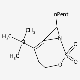 CCCCCC1C2=C([Si](C)(C)C)CCOS(=O)(=O)N21